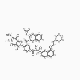 CCCCN(CCCC)C(=O)c1nn(-c2ccc(C(=O)NS(=O)(=O)c3ccc4cccc(OCCN5CCOCC5)c4c3)cc2C(=O)N2Cc3ccccc3C[C@H]2CN(C)C)c(C)c1Cl